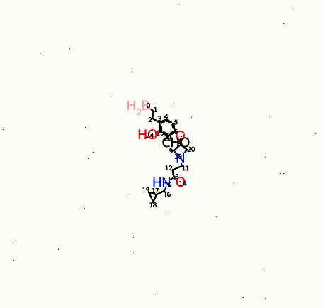 BCCc1ccc(OC2CN(CCC(=O)NCC3CC3)C2)c(C=O)c1O